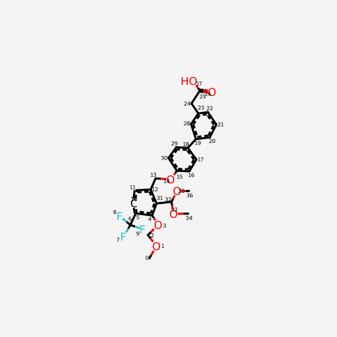 COCOc1c(C(F)(F)F)ccc(COc2ccc(-c3cccc(CC(=O)O)c3)cc2)c1C(OC)OC